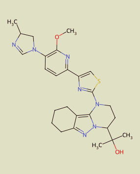 COc1nc(-c2csc(N3CCC(C(C)(C)O)n4nc5c(c43)CCCC5)n2)ccc1N1C=NC(C)C1